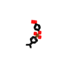 CC(C)c1ccc(S(=O)(=O)Oc2ccc(O)cc2)cc1